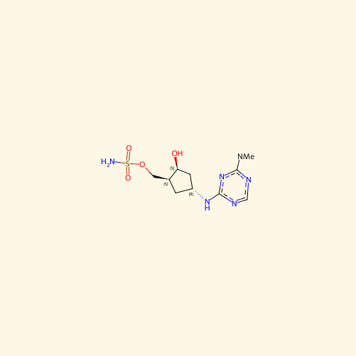 CNc1ncnc(N[C@@H]2C[C@@H](COS(N)(=O)=O)[C@@H](O)C2)n1